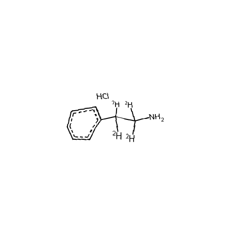 Cl.[2H]C([2H])(N)C([2H])([2H])c1ccccc1